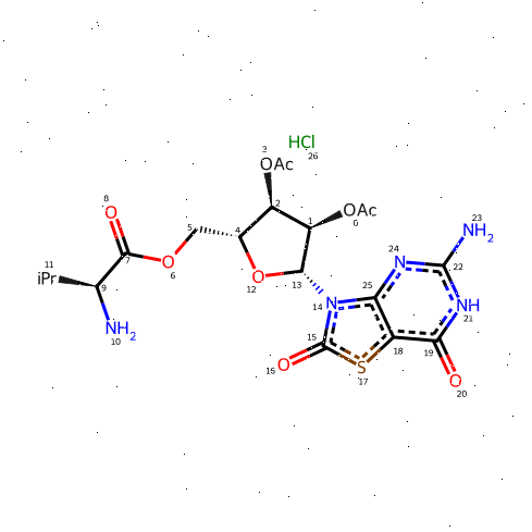 CC(=O)O[C@@H]1[C@H](OC(C)=O)[C@@H](COC(=O)[C@@H](N)C(C)C)O[C@H]1n1c(=O)sc2c(=O)[nH]c(N)nc21.Cl